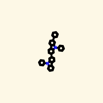 c1ccc(-c2ccc3c4ccc(-c5ccc6c7ccccc7n(-c7ccccc7)c6c5)cc4n(-c4ccccc4)c3c2)cc1